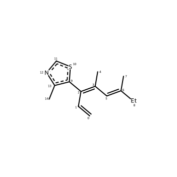 C=C/C(=C(C)\C=C(/C)CC)c1scnc1C